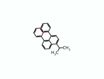 CC(C)c1ccc(-c2ccccc2)c2c(-c3ccccc3)cccc12